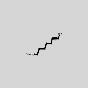 [CH2]C/C=C/CCCCCCCCCC